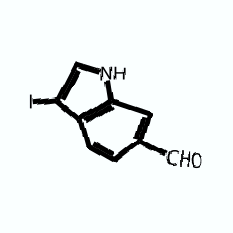 O=Cc1ccc2c(I)c[nH]c2c1